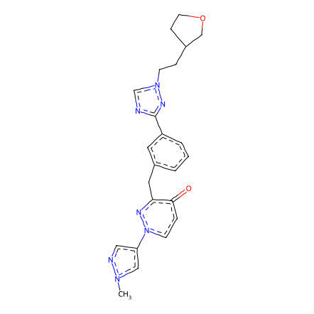 Cn1cc(-n2ccc(=O)c(Cc3cccc(-c4ncn(CCC5CCOC5)n4)c3)n2)cn1